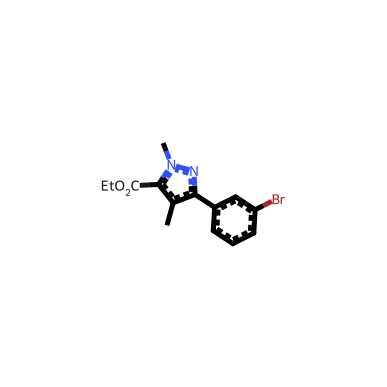 CCOC(=O)c1c(C)c(-c2cccc(Br)c2)nn1C